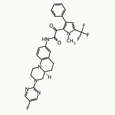 Cn1c(C(F)(F)F)cc(-c2ccccc2)c1C(=O)C(=O)Nc1ccc2c(c1)CC[C@H]1CN(c3ncc(F)cn3)CCN21